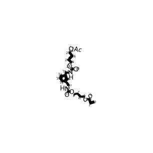 C=CC(=O)OCCCCOC(=O)NCc1cccc(CNC(=O)OCCCCOC(C)=O)c1